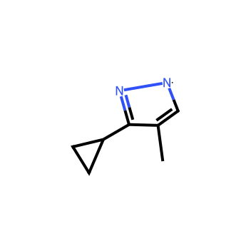 CC1=C[N]N=C1C1CC1